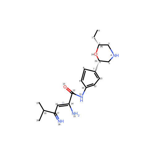 CC[C@@H]1CNC[C@H](c2ccc(NC(=O)/C(N)=C/C(=N)C(C)C)cc2)O1